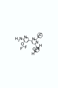 Nc1ncc(-c2cc(N3C[C@@H]4CC[C@H]3CO4)nc(C34CCC(CC3)CC4)n2)cc1OC(F)F